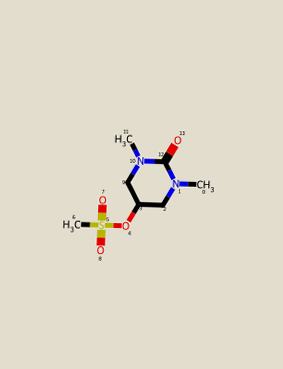 CN1CC(OS(C)(=O)=O)CN(C)C1=O